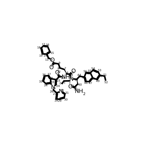 CCCN(C(=O)[C@H](CCCC(=O)OCc1ccccc1)NC(=O)c1cn(Cc2ccccn2)c2ccccc12)[C@H](CC(N)=O)Cc1ccc2cc(CC)ccc2c1